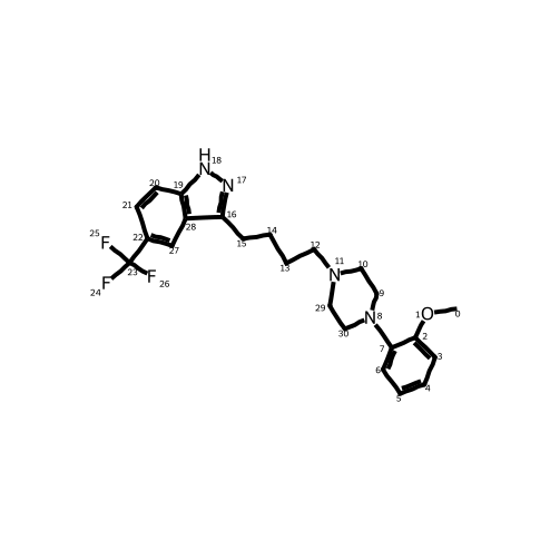 COc1ccccc1N1CCN(CCCCc2n[nH]c3ccc(C(F)(F)F)cc23)CC1